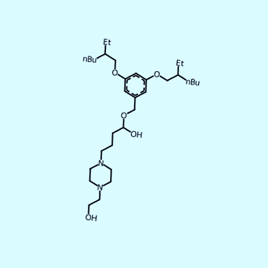 CCCCC(CC)COc1cc(COC(O)CCCN2CCN(CCO)CC2)cc(OCC(CC)CCCC)c1